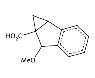 COC1c2ccccc2C2CC21C(=O)O